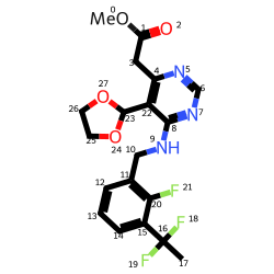 COC(=O)Cc1ncnc(NCc2cccc(C(C)(F)F)c2F)c1C1OCCO1